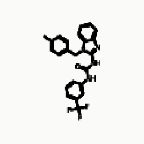 Cc1ccc(Cn2c(NC(=O)Nc3cccc(C(F)(F)F)c3)nc3ccccc32)cc1